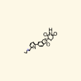 CC/C=C/c1cccc(-c2ccc3c(c2)CN(C2CCC(=O)NC2=O)C3=O)n1